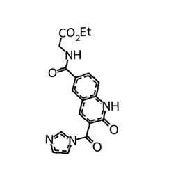 CCOC(=O)CNC(=O)c1ccc2[nH]c(=O)c(C(=O)n3ccnc3)cc2c1